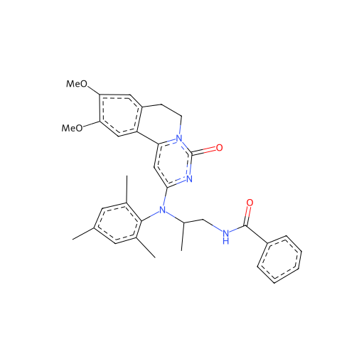 COc1cc2c(cc1OC)-c1cc(N(c3c(C)cc(C)cc3C)C(C)CNC(=O)c3ccccc3)nc(=O)n1CC2